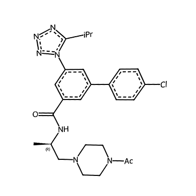 CC(=O)N1CCN(C[C@@H](C)NC(=O)c2cc(-c3ccc(Cl)cc3)cc(-n3nnnc3C(C)C)c2)CC1